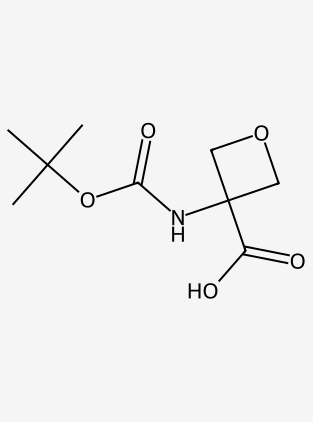 CC(C)(C)OC(=O)NC1(C(=O)O)COC1